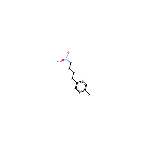 Cc1ccc(CCCC[N+](=O)[O-])cc1